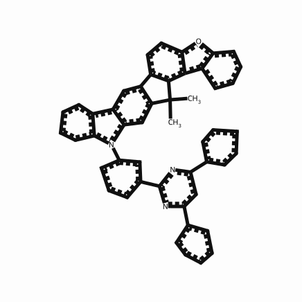 CC1(C)c2cc3c(cc2-c2ccc4oc5ccccc5c4c21)c1ccccc1n3-c1cccc(-c2nc(-c3ccccc3)cc(-c3ccccc3)n2)c1